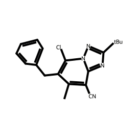 Cc1c(Cc2ccccc2)c(Cl)n2nc(C(C)(C)C)nc2c1C#N